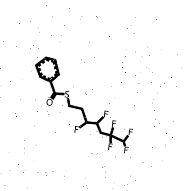 O=C(SCCC(F)C(F)CC(F)(F)C(F)F)c1ccccc1